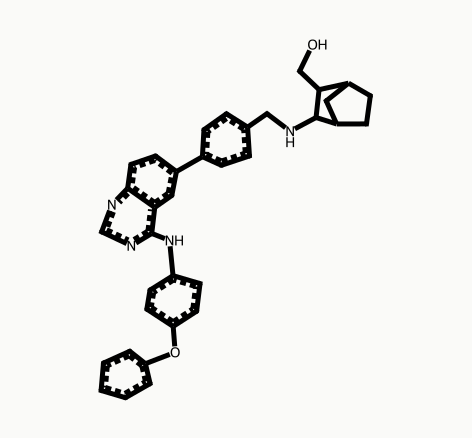 OCC1C2CCC(C2)C1NCc1ccc(-c2ccc3ncnc(Nc4ccc(Oc5ccccc5)cc4)c3c2)cc1